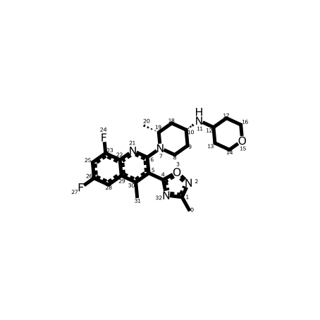 Cc1noc(-c2c(N3CC[C@@H](NC4CCOCC4)C[C@H]3C)nc3c(F)cc(F)cc3c2C)n1